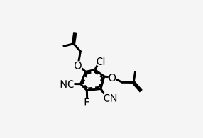 C=C(C)COc1c(Cl)c(OCC(=C)C)c(C#N)c(F)c1C#N